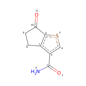 NC(=O)c1csc2c1[CH]CC2=O